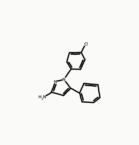 Nc1cc(-c2ccccc2)n(-c2ccc(Cl)cc2)n1